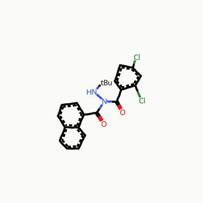 CC(C)(C)NN(C(=O)c1ccc(Cl)cc1Cl)C(=O)c1cccc2ccccc12